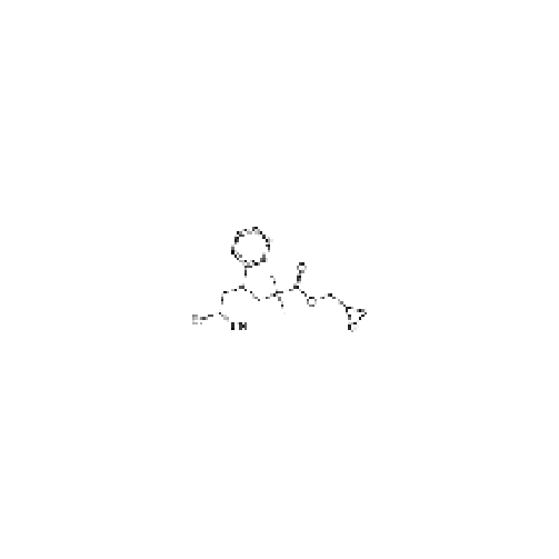 CCC(C#N)CC(CC(C)(C)C(=O)OCC1CO1)c1ccccc1